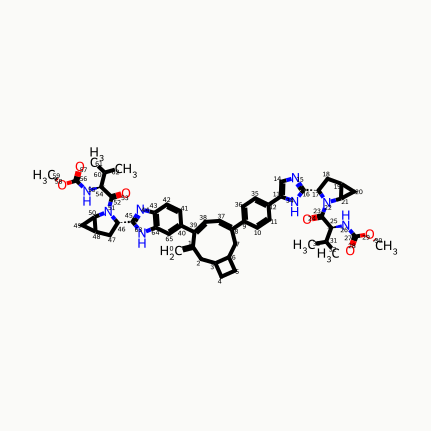 C=C1CC2CCC2C/C(c2ccc(-c3cnc([C@@H]4CC5CC5N4C(=O)[C@@H](NC(=O)OC)C(C)C)[nH]3)cc2)=C\C=C/1c1ccc2nc([C@@H]3CC4CC4N3C(=O)[C@@H](NC(=O)OC)C(C)C)[nH]c2c1